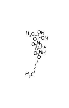 CCCCCCCOC(=O)Nc1nc(=O)n([C@@H]2O[C@H](C)C(O)C2O)cc1F